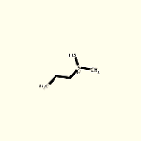 CCC[SH](C)S